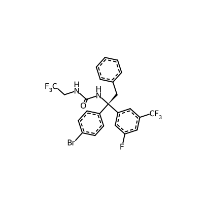 O=C(NCC(F)(F)F)N[C@@](Cc1ccccc1)(c1ccc(Br)cc1)c1cc(F)cc(C(F)(F)F)c1